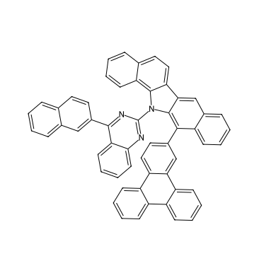 c1ccc2cc(-c3nc(-n4c5c(-c6ccc7c8ccccc8c8ccccc8c7c6)c6ccccc6cc5c5ccc6ccccc6c54)nc4ccccc34)ccc2c1